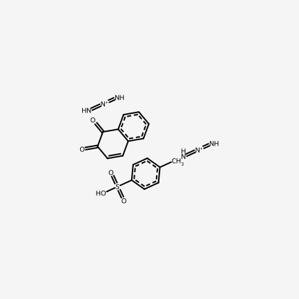 Cc1ccc(S(=O)(=O)O)cc1.N=[N+]=N.N=[N+]=N.O=C1C=Cc2ccccc2C1=O